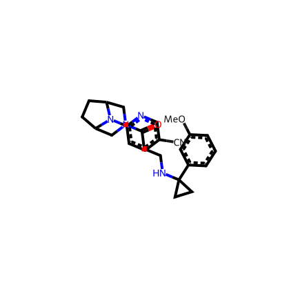 COc1cccc(C2(NCCC(=O)N3CC4CCC(C3)N4c3ccc(C#N)cn3)CC2)c1